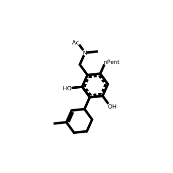 CCCCCc1cc(O)c(C2C=C(C)CCC2)c(O)c1CN(C)C(C)=O